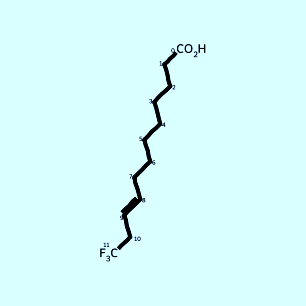 O=C(O)CCCCCCC/C=C/CC(F)(F)F